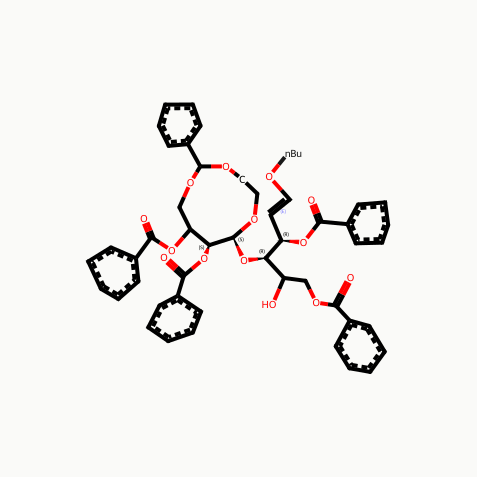 CCCCO/C=C/[C@@H](OC(=O)c1ccccc1)[C@H](O[C@@H]1OCCOC(c2ccccc2)OCC(OC(=O)c2ccccc2)[C@@H]1OC(=O)c1ccccc1)C(O)COC(=O)c1ccccc1